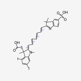 CN1\C(=C/C=C/C=C/C=C/C2=Nc3ccc(S(=O)(=O)O)cc3C2(C)C)C(C)(SC(=O)O)c2c(I)cc(I)cc21